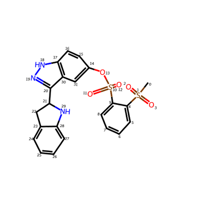 CS(=O)(=O)c1ccccc1S(=O)(=O)Oc1ccc2[nH]nc(C3Cc4ccccc4N3)c2c1